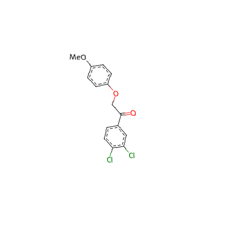 COc1ccc(OCC(=O)c2ccc(Cl)c(Cl)c2)cc1